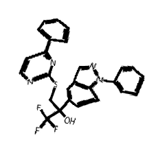 OC(CSc1nccc(-c2ccccc2)n1)(c1ccc2c(cnn2-c2ccccc2)c1)C(F)(F)F